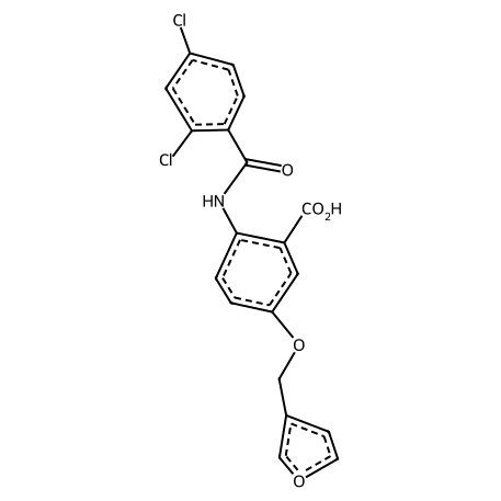 O=C(Nc1ccc(OCc2ccoc2)cc1C(=O)O)c1ccc(Cl)cc1Cl